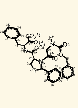 CCN(C(=O)OCc1ccccc1)[C@@H](C)C(=O)N1C(c2ccccc2)SC[C@H]1C(=O)N[C@@H](Cc1ccccc1)C(=O)C(=O)O